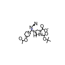 COC(=O)[C@H](CN/C(=N\C#N)N1CC[C@H](OC(C)=O)C1)NC(=O)OC(C)(C)C